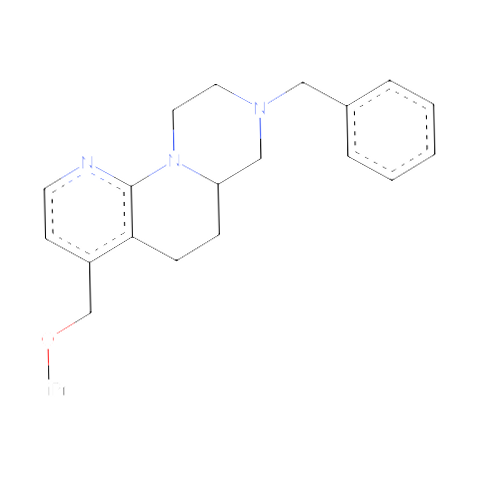 CC(C)OCc1ccnc2c1CCC1CN(Cc3ccccc3)CCN21